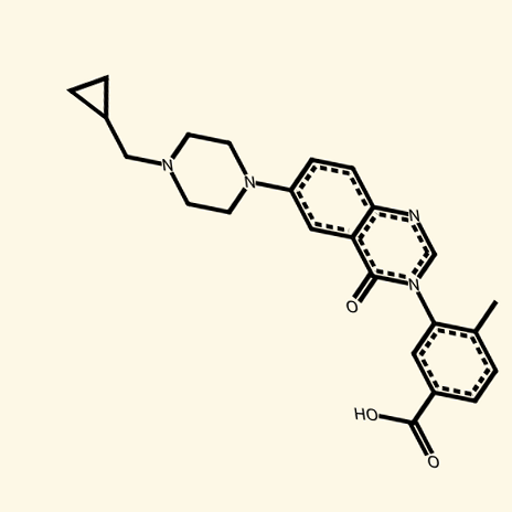 Cc1ccc(C(=O)O)cc1-n1cnc2ccc(N3CCN(CC4CC4)CC3)cc2c1=O